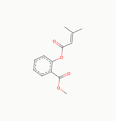 COC(=O)c1ccccc1OC(=O)C=C(C)C